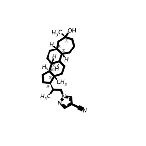 CC(Cn1cc(C#N)cn1)[C@H]1CC[C@H]2[C@@H]3CC[C@@H]4C[C@](C)(O)CCC[C@@H]4[C@H]3CC[C@]12C